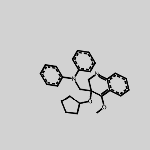 COC1=c2ccccc2=NCC1(CN(c1ccccc1)c1ccccc1)OC1CCCC1